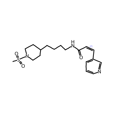 CS(=O)(=O)N1CCC(CCCCNC(=O)/C=C\c2cccnc2)CC1